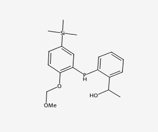 COCOc1ccc([Si](C)(C)C)cc1Pc1ccccc1C(C)O